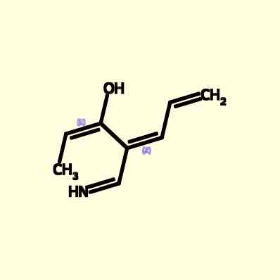 C=C/C=C(C=N)\C(O)=C/C